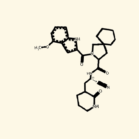 COc1cccc2[nH]c(C(=O)N3CC4(CCCCC4)CC3C(=O)N[C@H](C#N)CC3CCCNC3=O)cc12